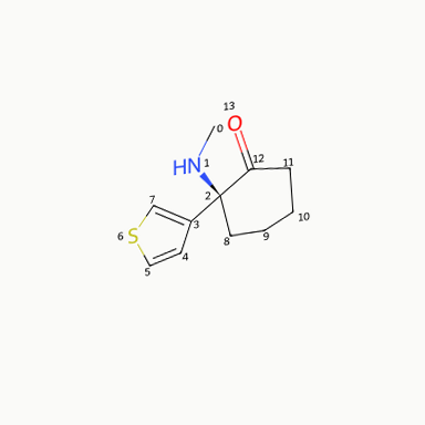 CN[C@]1(c2ccsc2)CCCCC1=O